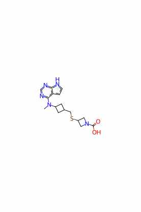 CN(c1ncnc2[nH]ccc12)C1CC(CSC2CN(C(=O)O)C2)C1